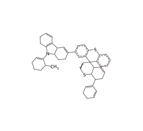 CC1CCCC=C1N1C2=C(C=CCC2)C2C=C(c3ccc4c(c3)C3(c5ccccc5S4)C4C=CC=CC4SC4C(C5=CCCC=C5)CC=CC43)CCC21